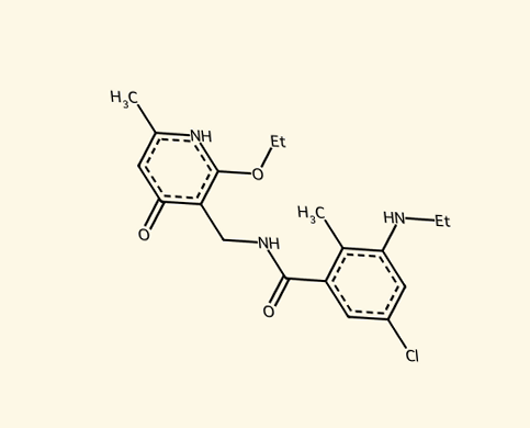 CCNc1cc(Cl)cc(C(=O)NCc2c(OCC)[nH]c(C)cc2=O)c1C